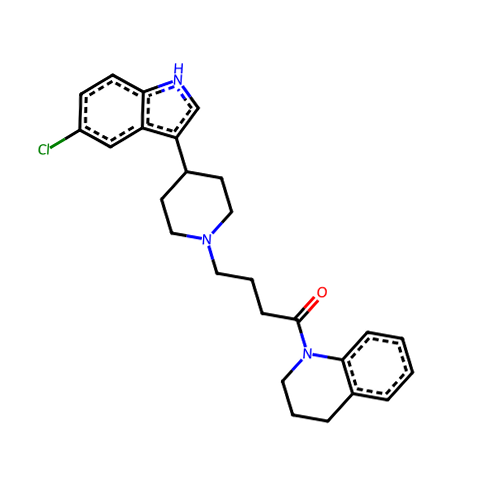 O=C(CCCN1CCC(c2c[nH]c3ccc(Cl)cc23)CC1)N1CCCc2ccccc21